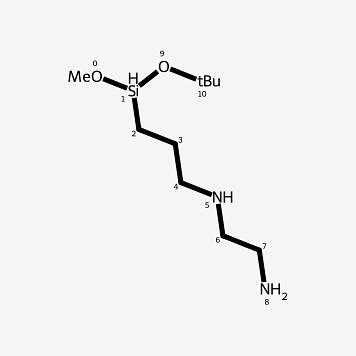 CO[SiH](CCCNCCN)OC(C)(C)C